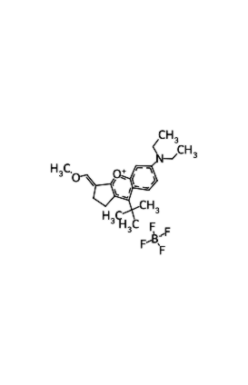 CCN(CC)c1ccc2c(C(C)(C)C)c3c([o+]c2c1)C(=COC)CC3.F[B-](F)(F)F